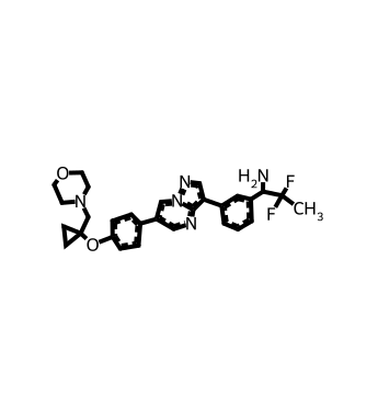 CC(F)(F)C(N)c1cccc(-c2cnn3cc(-c4ccc(OC5(CN6CCOCC6)CC5)cc4)cnc23)c1